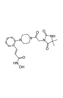 CC1(C)NC(=O)N(CC(=O)N2CCN(c3ccccc3C=CC(=O)NO)CC2)C1=O